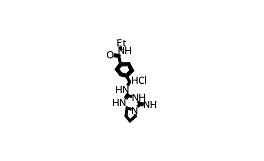 CCNC(=O)c1ccc(CNC(=N)NC(=N)N2CCCC2)cc1.Cl